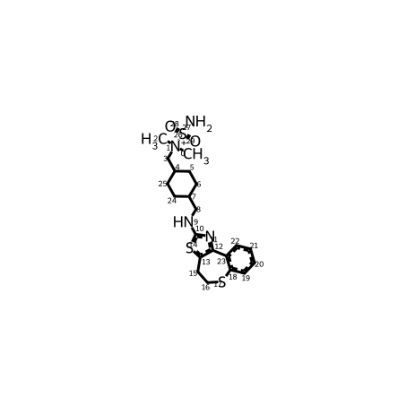 C[N+](C)(CC1CCC(CNc2nc3c(s2)CCSc2ccccc2-3)CC1)S(N)(=O)=O